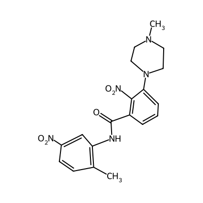 Cc1ccc([N+](=O)[O-])cc1NC(=O)c1cccc(N2CCN(C)CC2)c1[N+](=O)[O-]